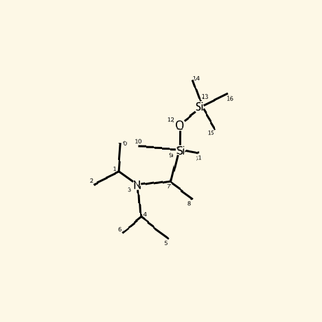 CC(C)N(C(C)C)C(C)[Si](C)(C)O[Si](C)(C)C